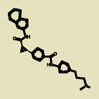 CN(C)CCCc1ccc(NC(=O)c2ccc([C@@H]3C[C@H]3C(=O)Nc3ccc4ccccc4c3)cc2)cc1